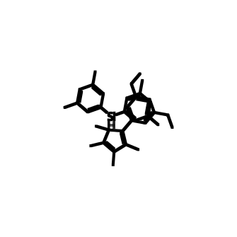 CCc1cc(CC)cc(C2=C(C)C(C)=C(C)C2(C)[SiH](c2cc(C)cc(C)c2)c2cc(C)cc(C)c2)c1